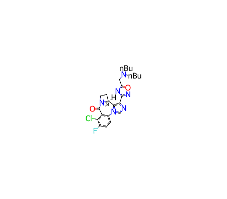 CCCCN(CCCC)Cc1nc(-c2ncn3c2[C@@H]2CCN2C(=O)c2c-3ccc(F)c2Cl)no1